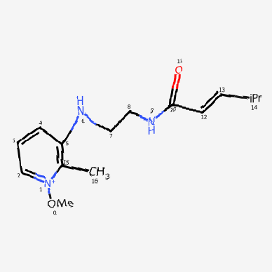 CO[n+]1cccc(NCCNC(=O)/C=C/C(C)C)c1C